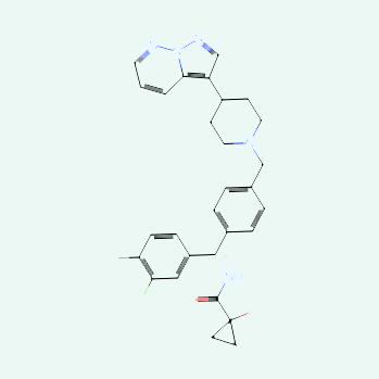 O=C(N[C@@H](c1ccc(CN2CCC(c3cnn4ncccc34)CC2)cc1)c1ccc(F)c(F)c1)C1(O)CC1